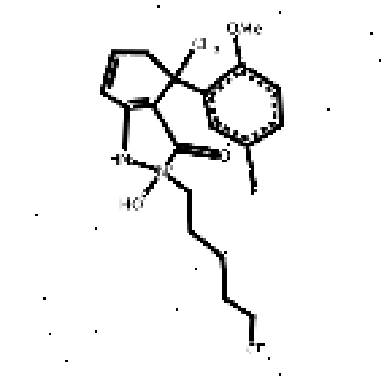 COc1ccc(F)cc1C1(C)CC=CC2=C1C(=O)[N+](O)(CCCCCC(F)(F)F)N2